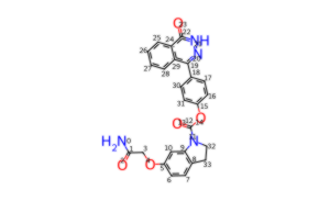 NC(=O)COc1ccc2c(c1)N(C(=O)Oc1ccc(-c3n[nH]c(=O)c4ccccc34)cc1)CC2